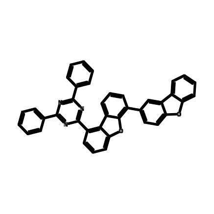 c1ccc(-c2nc(-c3ccccc3)nc(-c3cccc4oc5c(-c6ccc7oc8ccccc8c7c6)cccc5c34)n2)cc1